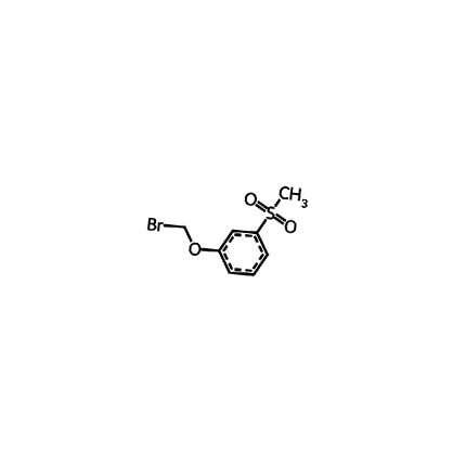 CS(=O)(=O)c1cccc(OCBr)c1